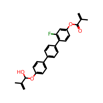 C=C(C)C(=O)Oc1ccc(-c2ccc(-c3ccc(OC(O)C(=C)C)cc3)cc2)c(F)c1